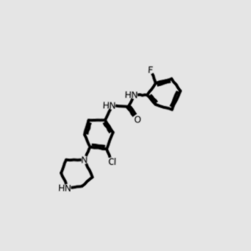 O=C(Nc1ccc(N2CCNCC2)c(Cl)c1)Nc1ccccc1F